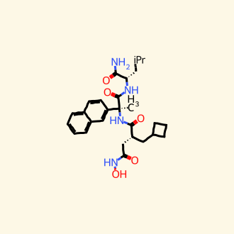 CC(C)C[C@H](NC(=O)[C@@](C)(NC(=O)[C@@H](CC(=O)NO)CC1CCC1)c1ccc2ccccc2c1)C(N)=O